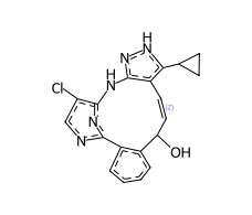 OC1/C=C\c2c(n[nH]c2C2CC2)Nc2nc(ncc2Cl)-c2ccccc21